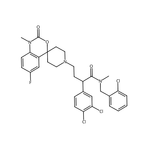 CN(Cc1ccccc1Cl)C(=O)C(CCN1CCC2(CC1)OC(=O)N(C)c1ccc(F)cc12)c1ccc(Cl)c(Cl)c1